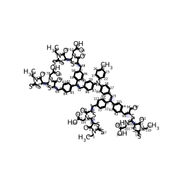 CCN1C(=O)/C(=c2/s/c(=C\c3ccc(/C(=C\c4ccc(N(c5ccc(C)cc5)c5ccc(/C=C(\c6ccc(/C=c7\s/c(=C8\SC(=S)N(CC)C8=O)n(CC(=O)O)c7=O)cc6)c6ccc(/C=c7/s/c(=C8\SC(=S)N(CC)C8=O)n(CC(=O)O)c7=O)cc6)cc5)cc4)c4ccc(/C=C(\C=O)S/C(NCC(=O)O)=C5/SC(=S)N(CC)C5=O)cc4)cc3)c(=O)n2CC(=O)O)SC1=S